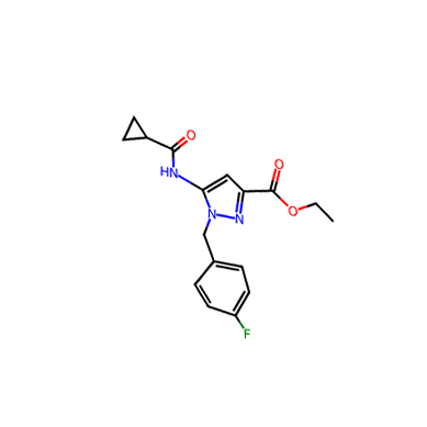 CCOC(=O)c1cc(NC(=O)C2CC2)n(Cc2ccc(F)cc2)n1